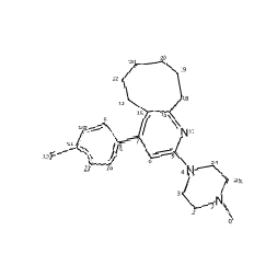 CN1CCN(c2cc(-c3ccc(F)cc3)c3c(n2)CCCCCC3)CC1